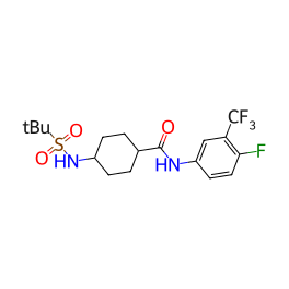 CC(C)(C)S(=O)(=O)NC1CCC(C(=O)Nc2ccc(F)c(C(F)(F)F)c2)CC1